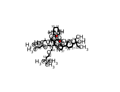 C=C(OCC)c1c([C@@H]2C[C@H]3CC[C@@H](C2)N3C(=O)OC(C)(C)C)nc2c(-c3ccc(C(O)(CC)CC)nc3)cnn2c1N(COCC[Si](C)(C)C)COCC[Si](C)(C)C